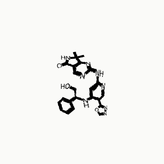 CC1(C)NC(=O)c2cnc(Nc3cc(N[C@H](CO)c4ccccc4)c(-c4nnco4)cn3)nc21